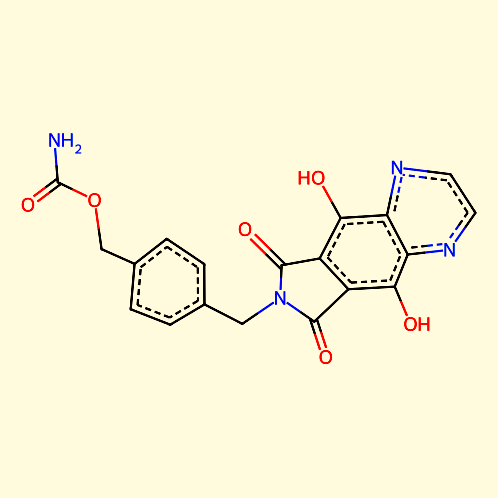 NC(=O)OCc1ccc(CN2C(=O)c3c(c(O)c4nccnc4c3O)C2=O)cc1